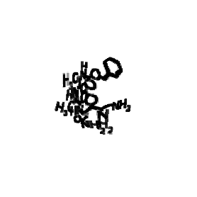 C[C@H](NC(=O)OCc1ccccc1)C(=O)N[C@@H](C)C(=O)N[C@@H](CC(N)=O)C(=O)C(N)CN